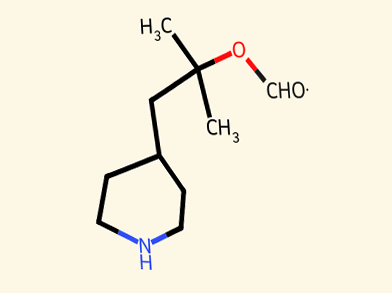 CC(C)(CC1CCNCC1)O[C]=O